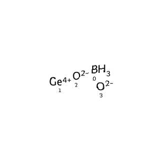 B.[Ge+4].[O-2].[O-2]